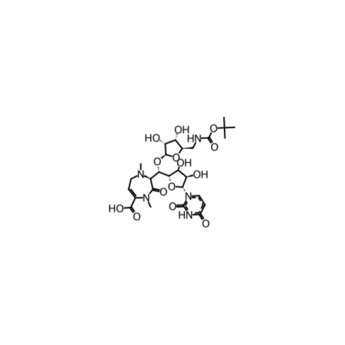 CN1C(=O)[C@H]([C@H](O[C@@H]2O[C@H](CNC(=O)OC(C)(C)C)[C@@H](O)[C@H]2O)[C@H]2O[C@@H](n3ccc(=O)[nH]c3=O)[C@H](O)[C@@H]2O)N(C)CC=C1C(=O)O